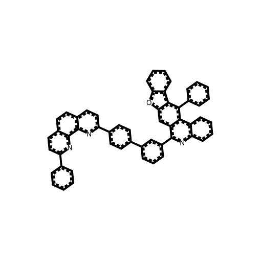 c1ccc(-c2ccc3ccc4ccc(-c5ccc(-c6cccc(-c7nc8ccccc8c8c(-c9ccccc9)c9c(cc78)oc7ccccc79)c6)cc5)nc4c3n2)cc1